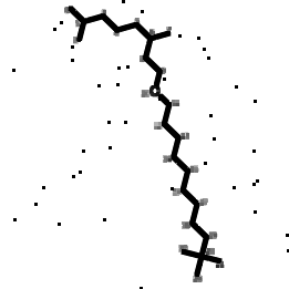 CC(C)CCCC(C)CCOCCCCCCCCCC(C)(C)C